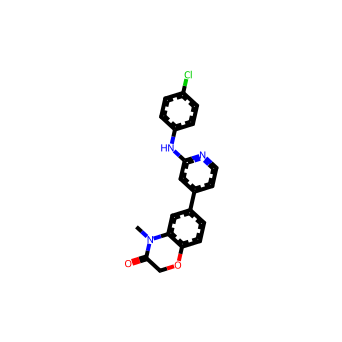 CN1C(=O)COc2ccc(-c3ccnc(Nc4ccc(Cl)cc4)c3)cc21